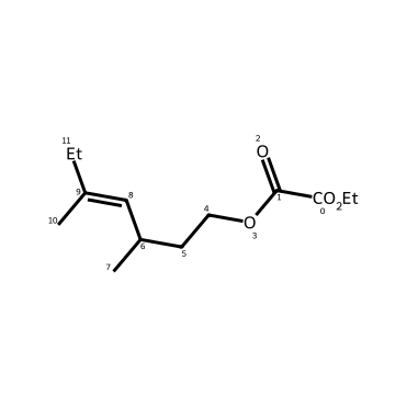 CCOC(=O)C(=O)OCCC(C)C=C(C)CC